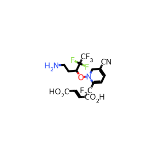 N#CC1=CC=C(C(F)(F)F)N(OC(CCN)C(F)(F)C(F)(F)F)C1.O=C(O)/C=C/C(=O)O